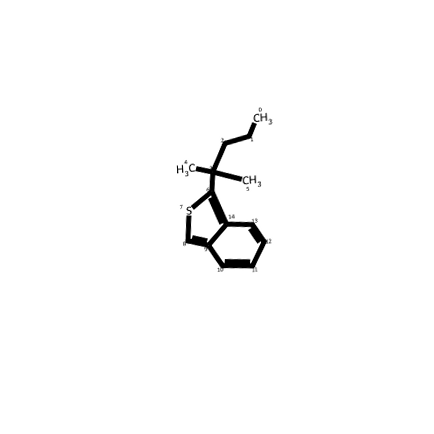 CCCC(C)(C)c1scc2ccccc12